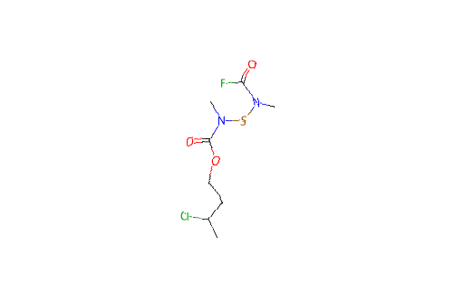 CC(Cl)CCOC(=O)N(C)SN(C)C(=O)F